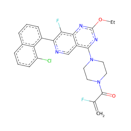 C=C(F)C(=O)N1CCN(c2nc(OCC)nc3c(F)c(-c4cccc5cccc(Cl)c45)ncc23)CC1